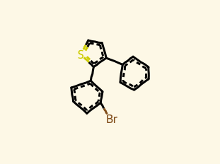 Brc1cccc(-c2sccc2-c2ccccc2)c1